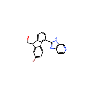 O=CC1c2cc(Br)ccc2-c2c(-c3nc4ccncc4[nH]3)cccc21